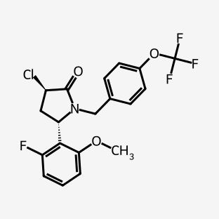 COc1cccc(F)c1[C@@H]1C[C@@H](Cl)C(=O)N1Cc1ccc(OC(F)(F)F)cc1